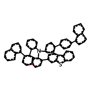 c1ccc(-c2cccc3ccccc23)c(-c2ccccc2N(c2ccc(-c3ccc(-c4cccc5ccccc45)cc3)cc2)c2ccccc2-c2ccc3c(c2)sc2ccccc23)c1